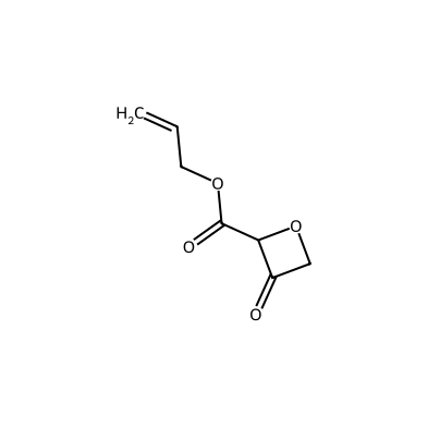 C=CCOC(=O)C1OCC1=O